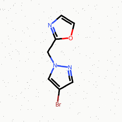 Brc1cnn(Cc2ncco2)c1